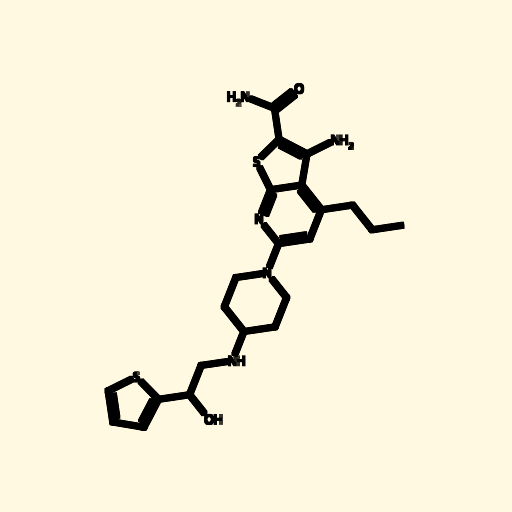 CCCc1cc(N2CCC(NCC(O)c3cccs3)CC2)nc2sc(C(N)=O)c(N)c12